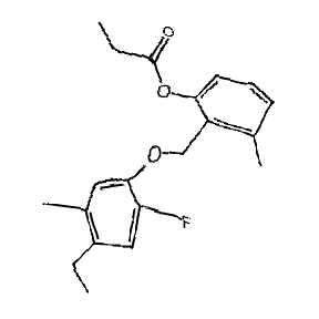 CCC(=O)Oc1cccc(C)c1COc1cc(C)c(CC)cc1F